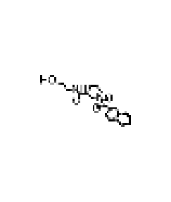 O=C(NCCCO)C1CCCN(S(=O)(=O)c2ccc3ccccc3c2)C1